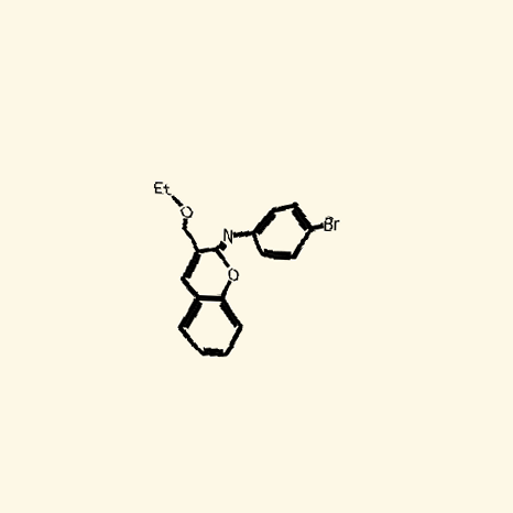 CCOCc1cc2ccccc2oc1=Nc1ccc(Br)cc1